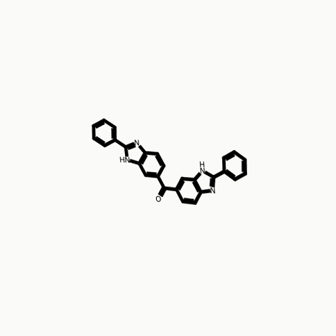 O=C(c1ccc2nc(-c3ccccc3)[nH]c2c1)c1ccc2nc(-c3ccccc3)[nH]c2c1